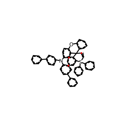 c1ccc(-c2ccc(N(c3ccc(-c4ccccc4)cc3)c3ccc4c(c3)C3(c5ccccc5O4)c4ccccc4S(c4ccccc4)(c4ccccc4)c4ccccc43)cc2)cc1